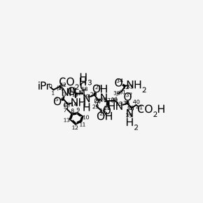 CC(C)C[C@H](NC(=O)[C@H](Cc1ccccc1)NC(=O)[C@H](C)NC(=O)[C@H](CCO)NC(=O)[C@H](CCC(N)=O)NC(=O)[C@@H](N)CC(=O)O)C(=O)O